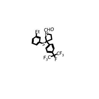 CCc1cccc(SC2(c3ccc(C(F)(C(F)(F)F)C(F)(F)F)cc3)CCN(C=O)C2)c1